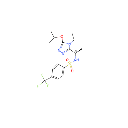 CCn1c(OC(C)C)nnc1[C@@H](C)NS(=O)(=O)c1ccc(C(F)(F)F)cc1